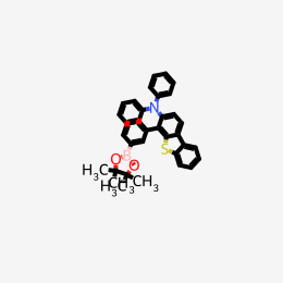 CC1(C)OB(c2cccc(-c3c(N(c4ccccc4)c4ccccc4)ccc4c3sc3ccccc34)c2)OC1(C)C